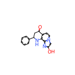 O=C1CC(c2ccccc2)Nc2c1ccn1cc(O)nc21